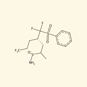 CC(C[C@H](CCC(F)(F)F)C(F)(F)S(=O)(=O)c1ccccc1)[S+](N)[O-]